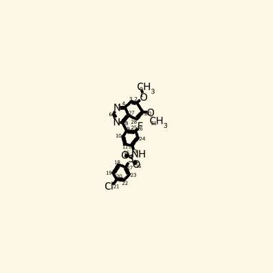 COc1cc2ncnc(-c3ccc(NS(=O)(=O)c4ccc(Cl)cc4)cc3F)c2cc1OC